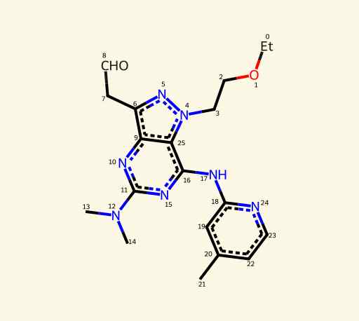 CCOCCn1nc(CC=O)c2nc(N(C)C)nc(Nc3cc(C)ccn3)c21